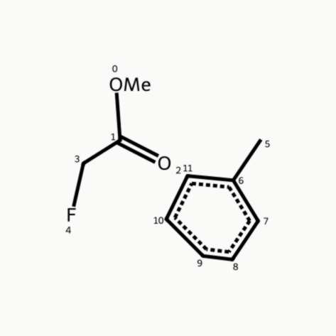 COC(=O)CF.Cc1ccccc1